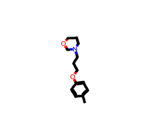 Cc1ccc(OCCCN2CCCOC2)cc1